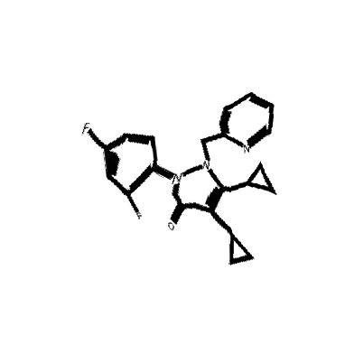 O=c1c(C2CC2)c(C2CC2)n(Cc2ccccn2)n1-c1ccc(F)cc1F